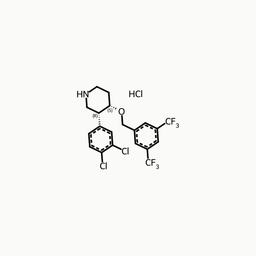 Cl.FC(F)(F)c1cc(CO[C@H]2CCNC[C@H]2c2ccc(Cl)c(Cl)c2)cc(C(F)(F)F)c1